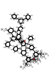 Cc1ccc(-n2c3ccc(-c4cc5c6c(c4)N(c4ccccc4)c4ccc(-c7cc(C(C)(C)C)cc(C(C)(C)C)c7)cc4B6c4cc(-c6cc(C(C)(C)C)cc(C(C)(C)C)c6)ccc4N5c4ccccc4)cc3c3ccc(-c4nc(-c5ccccc5)nc(-c5ccccc5)n4)cc32)c(-c2nc(-c3ccccc3)nc(-c3ccccc3)n2)c1